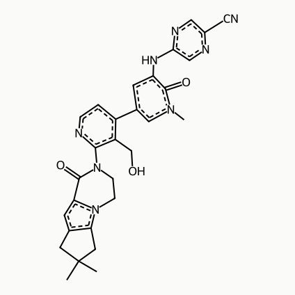 Cn1cc(-c2ccnc(N3CCn4c(cc5c4CC(C)(C)C5)C3=O)c2CO)cc(Nc2cnc(C#N)cn2)c1=O